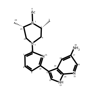 CC(=O)N1[C@H](C)CN(c2cccc(-c3c[nH]c4ncc(N)cc34)n2)C[C@@H]1C